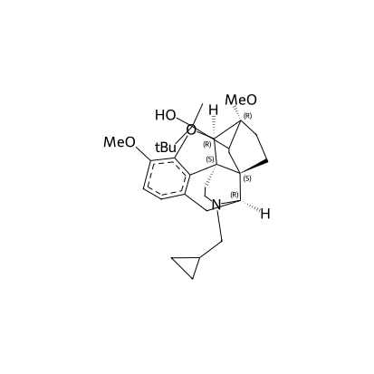 COc1ccc2c3c1O[C@@H]1[C@]34CCN(CC3CC3)[C@H](C2)[C@]42CC[C@@]1(OC)C(C(C)(O)C(C)(C)C)C2